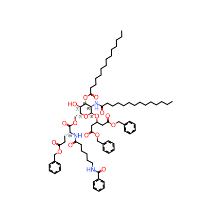 CCCCCCCCCCCCCC(=O)N[C@H]1[C@@H](OC(CC(=O)OCc2ccccc2)CC(=O)OCc2ccccc2)O[C@H](COC(=O)[C@@H](CCC(=O)OCc2ccccc2)NC(=O)CCCCCNC(=O)c2ccccc2)[C@@H](O)[C@@H]1OC(=O)CCCCCCCCCCCCC